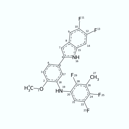 COc1ccc(-c2cc3cc(F)c(F)cc3[nH]2)cc1Nc1cc(F)c(F)c(C)c1F